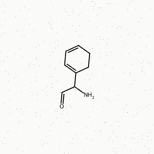 NC([C]=O)C1=CC=CCC1